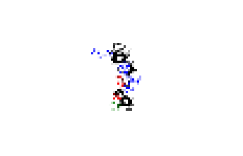 NC(c1ccc(-n2ccc(NC(=O)N[C@H]3CCOc4c(Cl)cccc43)n2)cc1)C(F)(F)F